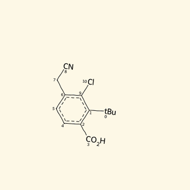 CC(C)(C)c1c(C(=O)O)ccc(CC#N)c1Cl